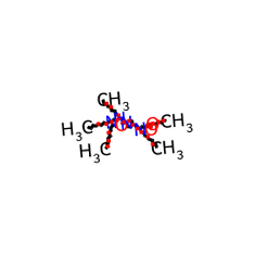 CCCCCCCCCCN(CCCCCCCCC)CCN(CCCCCCCCC)CC(=O)N1CCC(CCN(CCCCCCCCC)CCCC(=O)OCCCCC)CC1